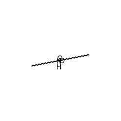 CCCCCCCCCCCCCCCCCCNC(=O)OCCCCCCCCCCCCCCCCCC